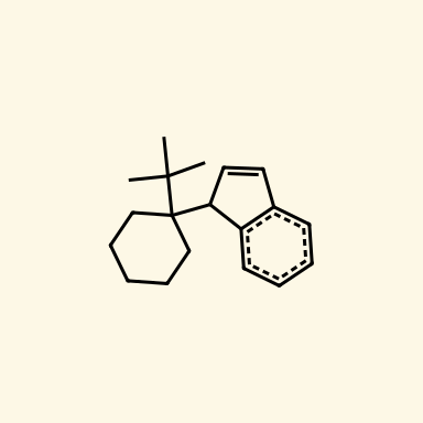 CC(C)(C)C1(C2C=Cc3ccccc32)CCCCC1